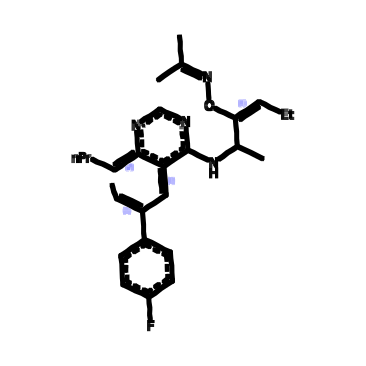 C\C=C(/C=c1/c(NC(C)/C(=C\CC)ON=C(C)C)ncn/c1=C\CCC)c1ccc(F)cc1